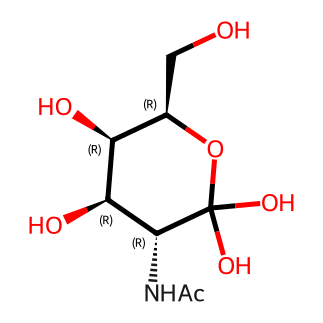 CC(=O)N[C@@H]1[C@@H](O)[C@@H](O)[C@@H](CO)OC1(O)O